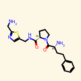 NCc1ncc(CNC(=O)[C@@H]2CCCN2C(=O)[C@H](N)CCc2ccccc2)s1